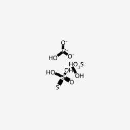 O=S(=O)(O)O.O=S(O)(O)=S.[O-][I+2]([O-])O